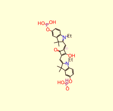 CCN1C(=CC2=C(O)/C(=C/C3=[N+](CC)c4ccc(OP(O)O)cc4C3(C)C)C2=O)C(C)(C)c2cc(O[PH](=O)O)ccc21